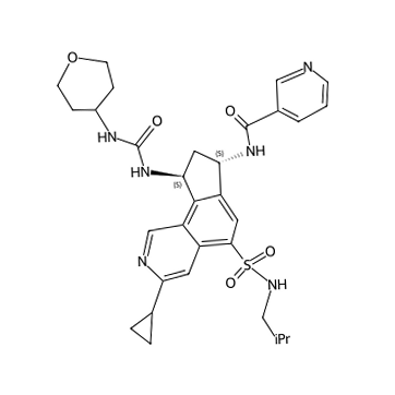 CC(C)CNS(=O)(=O)c1cc2c(c3cnc(C4CC4)cc13)[C@@H](NC(=O)NC1CCOCC1)C[C@@H]2NC(=O)c1cccnc1